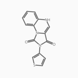 O=c1c2c[nH]c3ccccc3n-2c(=O)n1-c1ccsc1